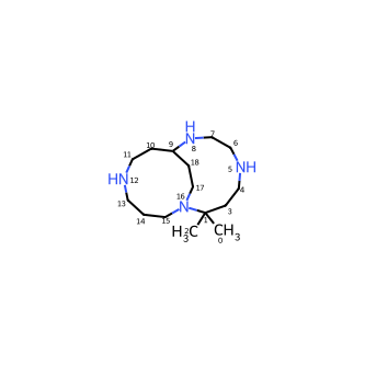 CC1(C)CCNCCNC2CCNCCCN1CC2